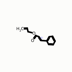 C=CCOC(=O)/C=C/c1ccccc1